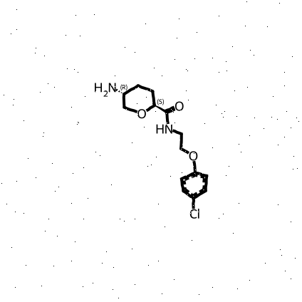 N[C@@H]1CC[C@@H](C(=O)NCCOc2ccc(Cl)cc2)OC1